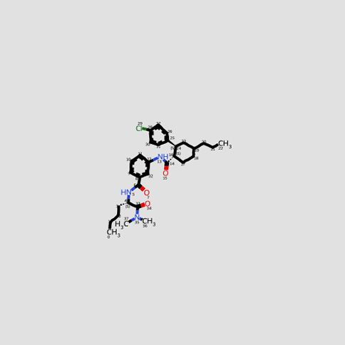 CCCC[C@H](NC(=O)c1cccc(NC(=O)[C@H]2CCC(CCC)C[C@@H]2c2ccc(Cl)cc2)c1)C(=O)N(C)C